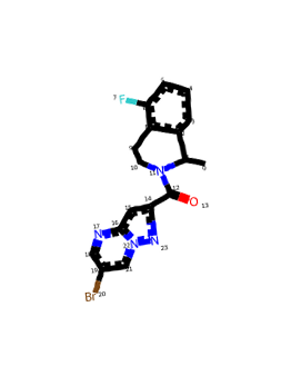 CC1c2cccc(F)c2CCN1C(=O)c1cc2ncc(Br)cn2n1